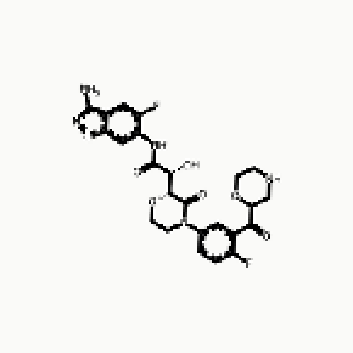 Nc1noc2cc(NC(=O)[C@H](O)[C@H]3OCCN(c4ccc(F)c(C(=O)C5CNCCO5)c4)C3=O)c(F)cc12